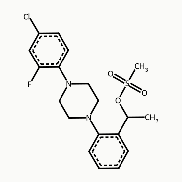 CC(OS(C)(=O)=O)c1ccccc1N1CCN(c2ccc(Cl)cc2F)CC1